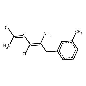 Cc1cccc(C/C(N)=C(Cl)/N=C(\N)Cl)c1